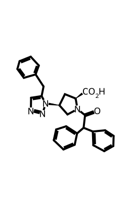 O=C(O)[C@@H]1C[C@H](n2nncc2Cc2ccccc2)CN1C(=O)C(c1ccccc1)c1ccccc1